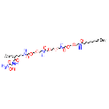 CCCCCCCCCCCCCCCCCC(=O)NCCOCCOCC(=O)NCCOCCOCC(=O)NCCOCCOCC(=O)NCCCC[C@H](NC)C(=O)CN[C@@H](CO)C(N)=O